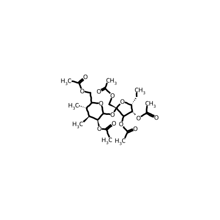 CC[C@H]1O[C@@](COC(C)=O)(OC2OC(COC(C)=O)[C@@H](C)[C@H](C)[C@@H]2OC(C)=O)C(OC(C)=O)[C@H]1OC(C)=O